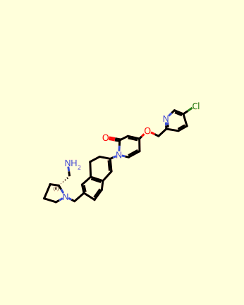 NC[C@H]1CCCN1Cc1ccc2c(c1)CCC(n1ccc(OCc3ccc(Cl)cn3)cc1=O)=C2